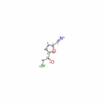 N#Cc1ccc(C(=O)CBr)o1